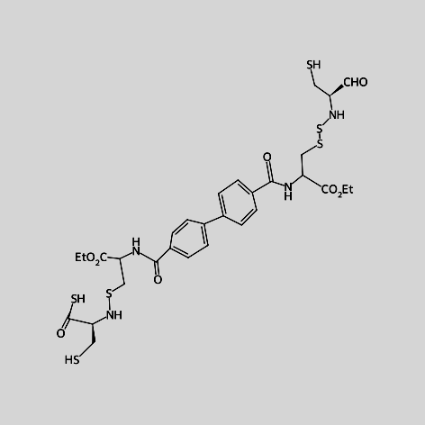 CCOC(=O)C(CSN[C@@H](CS)C(=O)S)NC(=O)c1ccc(-c2ccc(C(=O)NC(CSSN[C@H](C=O)CS)C(=O)OCC)cc2)cc1